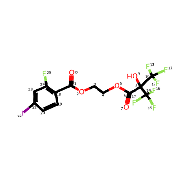 O=C(OCCOC(=O)C(O)(C(F)(F)F)C(F)(F)F)c1ccc(I)cc1F